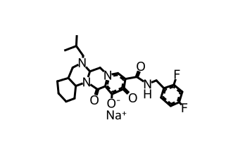 CC(C)CN1CC2CCCCC2N2C(=O)c3c([O-])c(=O)c(C(=O)NCc4ccc(F)cc4F)cn3CC12.[Na+]